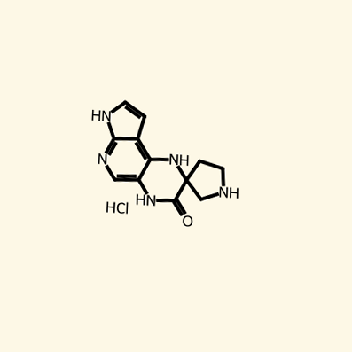 Cl.O=C1Nc2cnc3[nH]ccc3c2NC12CCNC2